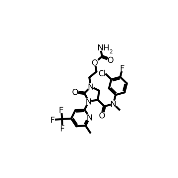 Cc1cc(C(F)(F)F)cc(N2C(=O)N(CCOC(N)=O)CC2C(=O)N(C)c2ccc(F)c(Cl)c2)n1